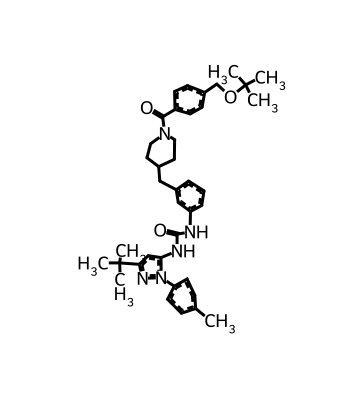 Cc1ccc(-n2nc(C(C)(C)C)cc2NC(=O)Nc2cccc(CC3CCN(C(=O)c4ccc(COC(C)(C)C)cc4)CC3)c2)cc1